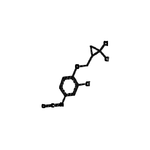 O=C=Nc1ccc(OCC2CC2(Cl)Cl)c(Cl)c1